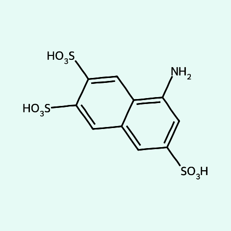 Nc1cc(S(=O)(=O)O)cc2cc(S(=O)(=O)O)c(S(=O)(=O)O)cc12